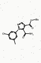 Cc1cc(Cl)cc(-n2ncc(C(=O)OC(C)(C)C)c2C(N)=O)c1